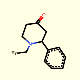 C[C](C)CN1CCC(=O)CC1c1ccccc1